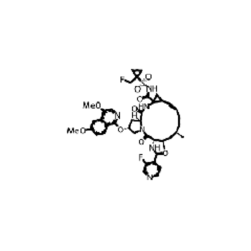 COc1ccc2c(O[C@@H]3C[C@H]4C(=O)NC5(C(=O)NS(=O)(=O)C6(CF)CC6)CC5/C=C\CC[C@@H](C)C[C@@H](C)[C@H](NC(=O)c5ccncc5F)C(=O)N4C3)ncc(OC)c2c1